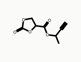 C#CC(C)OC(=O)C1COC(=O)O1